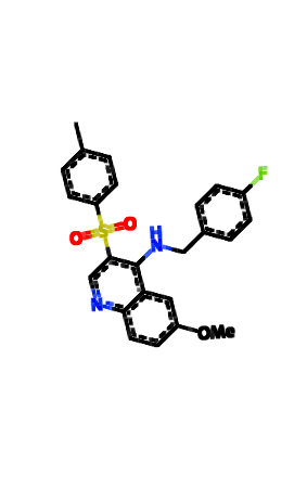 COc1ccc2ncc(S(=O)(=O)c3ccc(C)cc3)c(NCc3ccc(F)cc3)c2c1